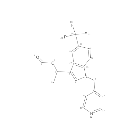 CC(OC=O)c1cn(Cc2ccncc2)c2ccc(C(F)(F)F)cc12